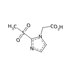 CS(=O)(=O)c1nccn1CC(=O)O